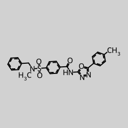 Cc1ccc(-c2nnc(NC(=O)c3ccc(S(=O)(=O)N(C)Cc4ccccc4)cc3)o2)cc1